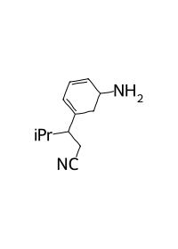 CC(C)C(CC#N)C1=CC=CC(N)C1